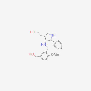 COc1ccc(CO)cc1CNC1C(CCO)CNC1c1ccccc1